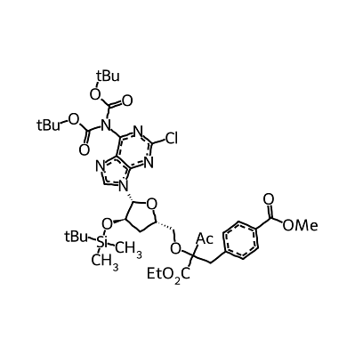 CCOC(=O)C(Cc1ccc(C(=O)OC)cc1)(OC[C@@H]1C[C@@H](O[Si](C)(C)C(C)(C)C)[C@H](n2cnc3c(N(C(=O)OC(C)(C)C)C(=O)OC(C)(C)C)nc(Cl)nc32)O1)C(C)=O